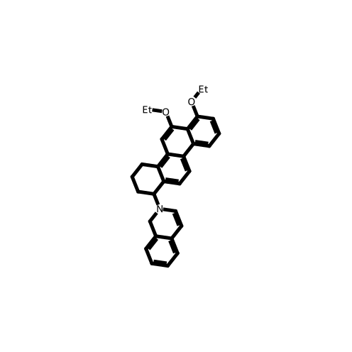 CCOc1cccc2c1c(OCC)cc1c3c(ccc12)C(N1C=Cc2ccccc2C1)CCC3